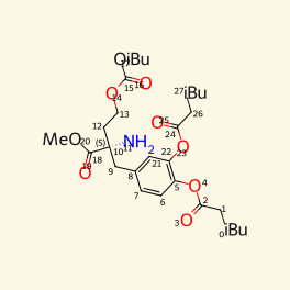 CCC(C)CC(=O)Oc1ccc(C[C@](N)(CCOC(=O)OCC(C)C)C(=O)OC)cc1OC(=O)CC(C)CC